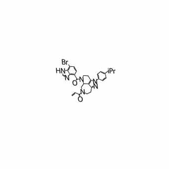 C=CC(=O)N1CCc2nn(-c3ccc(C(C)C)cc3)c3c2C(C1)N(C(=O)c1ccc(Br)c2[nH]cnc12)CC3